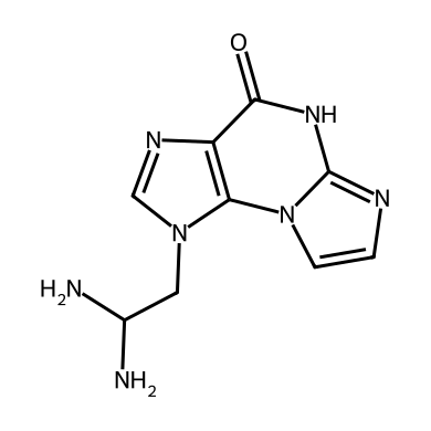 NC(N)Cn1cnc2c(=O)[nH]c3nccn3c21